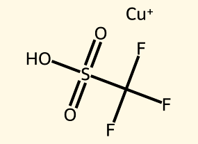 O=S(=O)(O)C(F)(F)F.[Cu+]